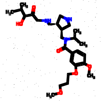 COCCCOc1cc(C(=O)N(C[C@@H]2CNC[C@H]2CNCC(=O)C(O)C(C)C)C(C)C)ccc1OC